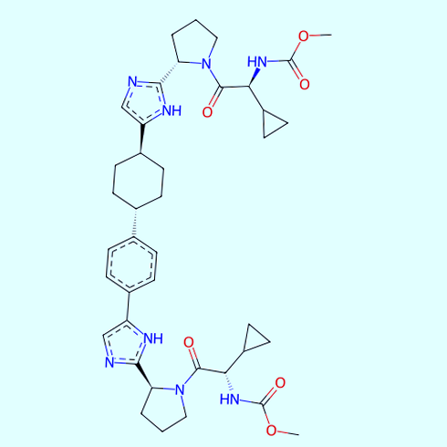 COC(=O)N[C@H](C(=O)N1CCC[C@H]1c1ncc(-c2ccc([C@H]3CC[C@H](c4cnc([C@@H]5CCCN5C(=O)[C@@H](NC(=O)OC)C5CC5)[nH]4)CC3)cc2)[nH]1)C1CC1